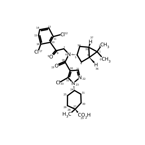 CC1(C)[C@@H]2C[C@H](N(CC(=O)c3c(Cl)cccc3Cl)C(=O)c3cnn([C@H]4CC[C@](C)(C(=O)O)CC4)c3Cl)C[C@@H]21